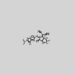 CC(C)c1cc2oc(/C=C3\C(=O)c4ccccc4C3=C(C#N)C#N)cc2n1C